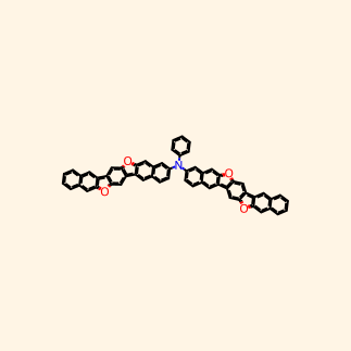 c1ccc(N(c2ccc3cc4c(cc3c2)oc2cc3c(cc24)oc2cc4ccccc4cc23)c2ccc3cc4c(cc3c2)oc2cc3c(cc24)oc2cc4ccccc4cc23)cc1